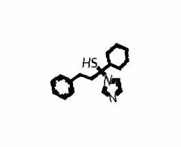 SC(CCc1ccccc1)(C1CCCCC1)n1ccnc1